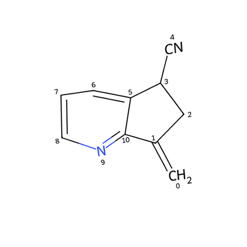 C=C1CC(C#N)c2cccnc21